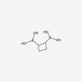 OB(O)C1CCC1B(O)O